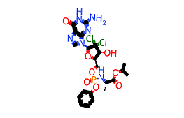 CC(C)OC(=O)[C@H](C)N[P@@](=O)(OC[C@H]1O[C@@H](n2cnc3c(=O)[nH]c(N)nc32)C(Cl)(Cl)[C@@H]1O)Oc1ccccc1